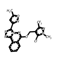 Cc1cc(-c2nnc3c4ccccc4c(OCc4c(C(F)(F)F)nn(C)c4Cl)nn23)no1